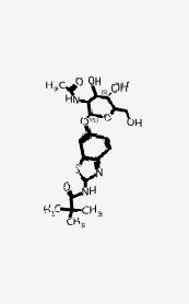 CC(=O)NC1C(O)[C@H](O)C(CO)O[C@H]1OC1=CC2SC(NC(=O)C(C)(C)C)N=C2C=C1